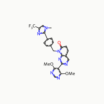 COc1ncnc(OC)c1-c1ncc2ccc(=O)n(Cc3ccc(-c4nc(C(F)(F)F)cn4C)cc3)c2n1